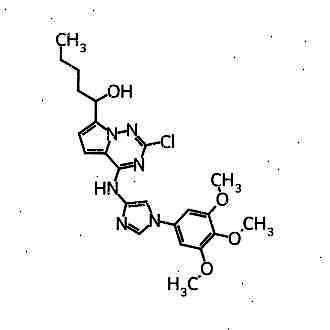 CCCCC(O)c1ccc2c(Nc3cn(-c4cc(OC)c(OC)c(OC)c4)cn3)nc(Cl)nn12